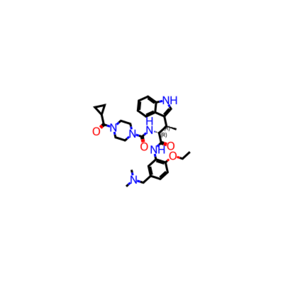 CCOc1ccc(CN(C)C)cc1NC(=O)[C@H](NC(=O)N1CCN(C(=O)C2CC2)CC1)[C@H](C)c1c[nH]c2ccccc12